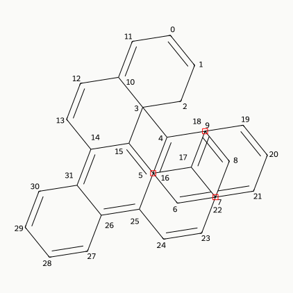 C1=CCC2(c3ccccc3)C(=C1)C=Cc1c2c2c3ccccc3ccc2c2ccccc12